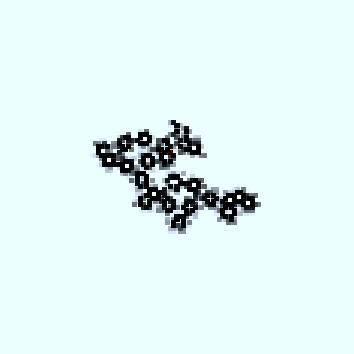 CC1C=Cc2c(c(-c3ccc(N(c4cccc(-c5cccc(-n6c7ccccc7c7ccc8ccccc8c76)c5)c4)c4ccc(-c5cccc(-c6cc7c(c8ccccc68)c6ccccc6n7C6C=C(c7cccc(N(c8ccc(-c9ccccc9)cc8)c8ccc(-c9cc%10ccc%11ccccc%11c%10c%10ccccc9%10)cc8)c7)C=CC6)c5)cc4-c4ccccc4)cc3)cc3ccccc23)C1